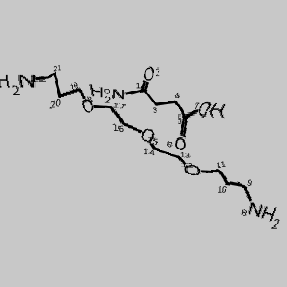 NC(=O)CCC(=O)O.NCCCOCCOCCOCCCN